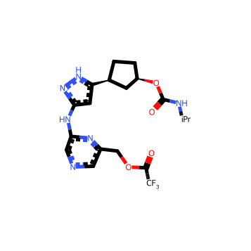 CC(C)NC(=O)O[C@@H]1CC[C@H](c2cc(Nc3cncc(COC(=O)C(F)(F)F)n3)n[nH]2)C1